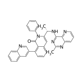 Cc1nc(N[C@@H](C)c2cc3cccc(-c4cnc5ccccc5c4)c3c(=O)n2-c2ccccc2)c2ncccc2n1